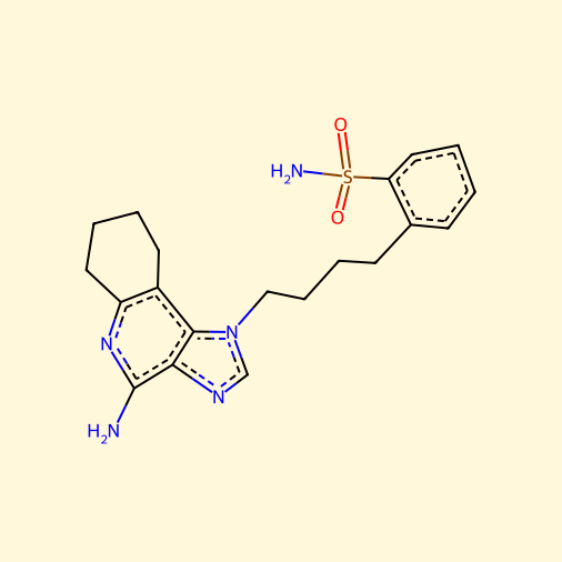 Nc1nc2c(c3c1ncn3CCCCc1ccccc1S(N)(=O)=O)CCCC2